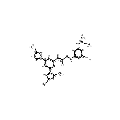 Cc1cc(C)n(-c2cc(NC(=O)COc3cc(F)cc(CN(C)C)c3)nc(-c3ccc(C)o3)n2)n1